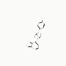 Fc1ccc(N2C[C@@H]3C[C@H]2CN3c2ccnc3nsnc23)cc1